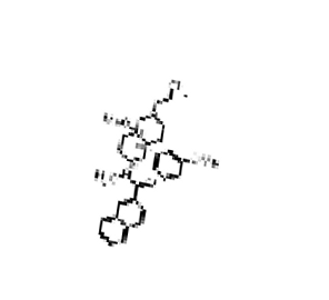 C=CCN1CC[C@@]2(c3cccc(OC)c3)C[C@H](N(C)C(=O)c3ccc4ccccc4c3)CC[C@]2(OC)C1